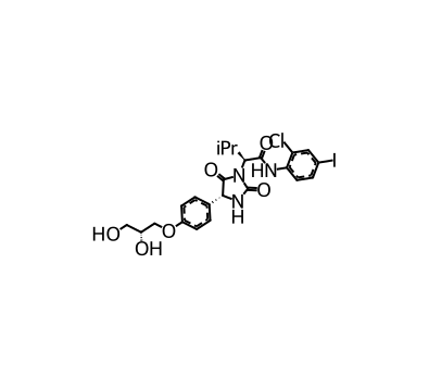 CC(C)[C@@H](C(=O)Nc1ccc(I)cc1Cl)N1C(=O)N[C@H](c2ccc(OC[C@H](O)CO)cc2)C1=O